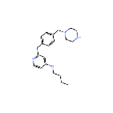 CCCCNc1ccnc(Cc2ccc(CN3CCNCC3)cc2)c1